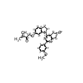 COc1cccc(-c2nc3c(c(N4CCc5ccc(OCC(=O)N(C)C)cc54)n2)C[S+]([O-])C3)c1